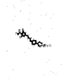 CCCCC[SiH]1CCC(C2CCC(CCCCc3cc(F)c(C(F)=CF)c(F)c3)CC2)CC1